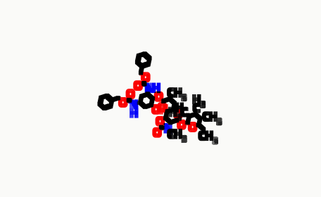 CCC1O[C@H](OC2O[C@H]3CC(C)[C@@H](O[C@@H]4C(NC(=O)OCc5ccccc5)C[C@@H](NC(=O)OCc5ccccc5)C[C@H]4O)OC3C3OC(=O)N(C)C23)C(C)[C@@H](C)[C@@H]1C